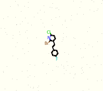 Fc1ccc(C=Cc2ccc(Cl)nc2Br)cc1